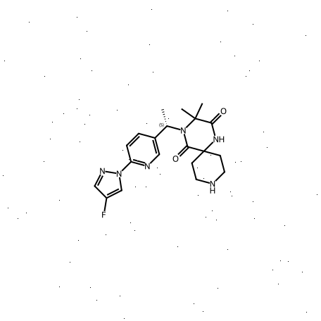 C[C@@H](c1ccc(-n2cc(F)cn2)nc1)N1C(=O)C2(CCNCC2)NC(=O)C1(C)C